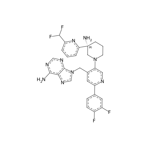 Nc1ncnc2c1ncn2Cc1cc(-c2ccc(F)c(F)c2)ncc1N1CCC[C@](N)(c2cccc(C(F)F)n2)C1